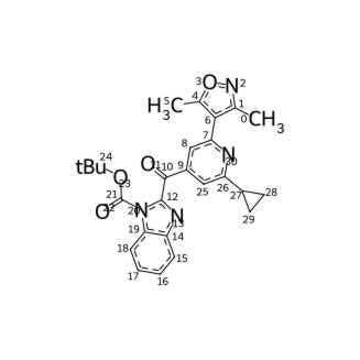 Cc1noc(C)c1-c1cc(C(=O)c2nc3ccccc3n2C(=O)OC(C)(C)C)cc(C2CC2)n1